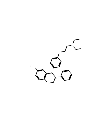 CCN(CC)CCOc1ccc([C@H]2c3cc(O)ccc3OC[C@H]2c2ccccc2)cc1